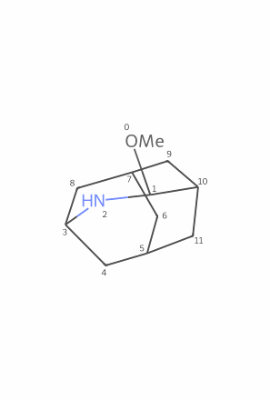 COC1NC2CC3CC(C2)CC1C3